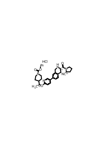 CC(C)OC(=O)N1CCC([C@H](C)Oc2ccc(-c3ccc4c(c3)CN[C@H](C(=O)N3CCC[C@H]3C#N)C4)cn2)CC1.Cl